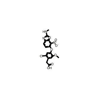 CNc1nc2ccc(Oc3cc(Cl)c(CC(=O)O)cc3OC)c([N+](=O)[O-])c2s1